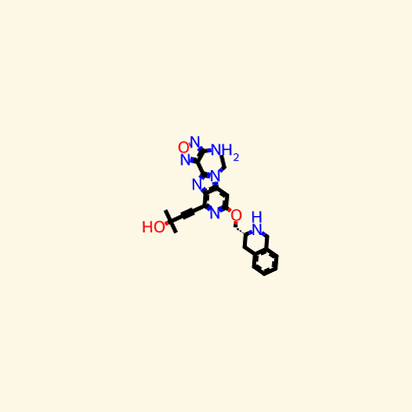 CCn1c(-c2nonc2N)nc2c(C#CC(C)(C)O)nc(OC[C@H]3Cc4ccccc4CN3)cc21